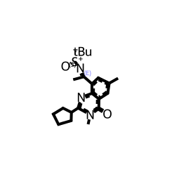 C/C(=N\[S@+]([O-])C(C)(C)C)c1cc(C)cc2c(=O)n(C)c(C3CCCC3)nc12